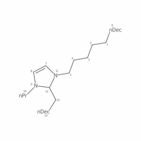 CCCCCCCCCCCCCCCN1C=CN(CCC)C1CCCCCCCCCCC